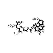 COc1ccc2c3c1O[C@@H]1C(OC(=O)CCC(=O)O[C@@H](C)C(=O)O[C@@H](CC(=O)O)C(=O)O)=CC[C@]4(O)[C@@H](CCC[C@@]314)C2